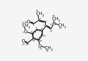 COc1cc(C(/C=C(/C)C=O)=C/N(C)C)cc(OC)c1C=O